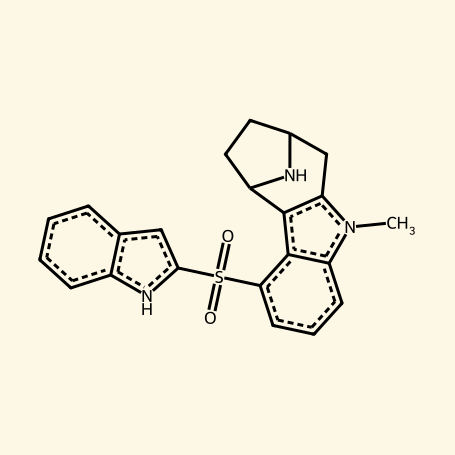 Cn1c2c(c3c(S(=O)(=O)c4cc5ccccc5[nH]4)cccc31)C1CCC(C2)N1